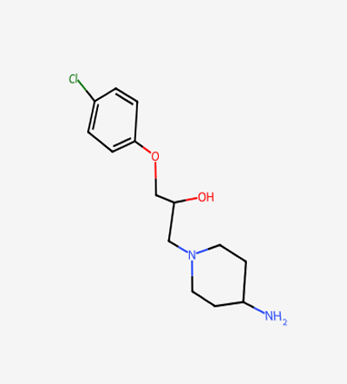 NC1CCN(CC(O)COc2ccc(Cl)cc2)CC1